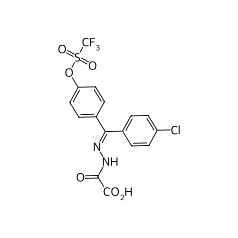 O=C(O)C(=O)N/N=C(\c1ccc(Cl)cc1)c1ccc(OS(=O)(=O)C(F)(F)F)cc1